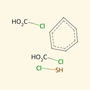 O=C(O)Cl.O=C(O)Cl.SCl.c1ccccc1